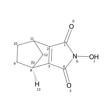 O=C1C2=C(C(=O)N1O)[C@H]1CCC2C1